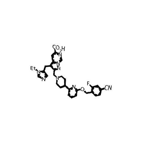 CCn1cncc1Cc1c(CN2CCC(c3cccc(OCc4ccc(C#N)cc4F)n3)CC2)nn2cnc(C(=O)O)cc12